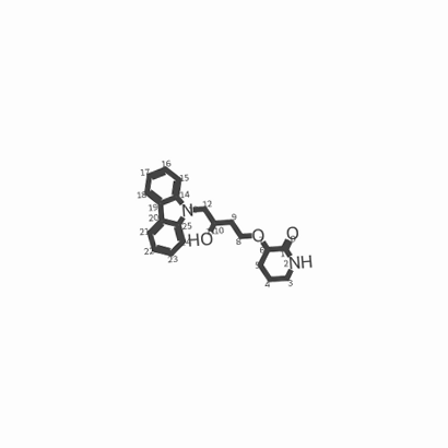 O=C1NCCCC1OCCC(O)Cn1c2ccccc2c2ccccc21